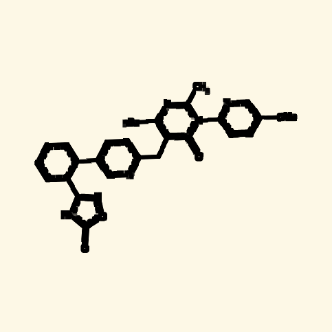 CCCCc1nc(C)n(-c2ccc(OC)cn2)c(=O)c1Cc1ccc(-c2ccccc2-c2noc(=O)[nH]2)cn1